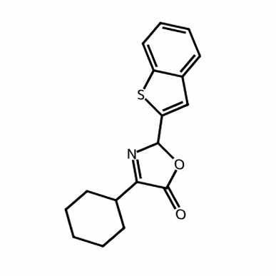 O=C1OC(c2cc3ccccc3s2)N=C1C1CCCCC1